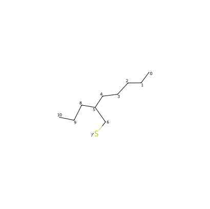 CCCCCC(C[S])CCC